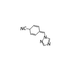 N#CC1C=CC(=Cn2cncn2)C=C1